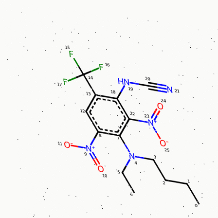 CCCCN(CC)c1c([N+](=O)[O-])cc(C(F)(F)F)c(NC#N)c1[N+](=O)[O-]